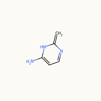 C=C1N=CC=C(N)N1